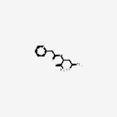 CC(C)C[C@H](NC(=O)Cc1ccccn1)C(=O)O